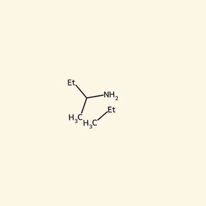 CCC.CCC(C)N